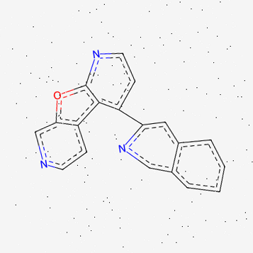 c1ccc2cc(-c3ccnc4oc5cnccc5c34)ncc2c1